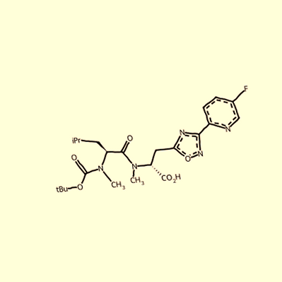 CC(C)C[C@@H](C(=O)N(C)[C@H](Cc1nc(-c2ccc(F)cn2)no1)C(=O)O)N(C)C(=O)OC(C)(C)C